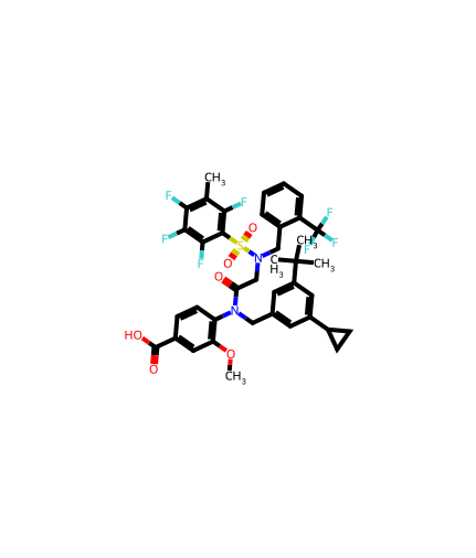 COc1cc(C(=O)O)ccc1N(Cc1cc(C2CC2)cc(C(C)(C)C)c1)C(=O)CN(Cc1ccccc1C(F)(F)F)S(=O)(=O)c1c(F)c(C)c(F)c(F)c1F